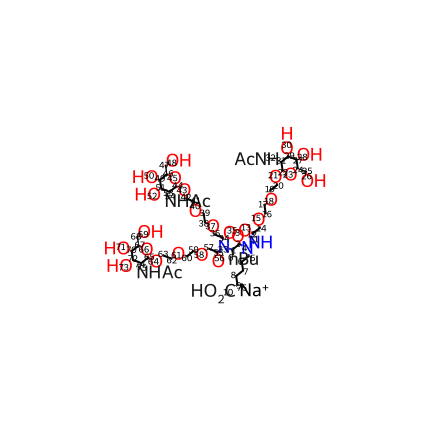 CCCCC(C(=O)N(CCCCCC(=O)O)NC(=O)COCCOCCO[C@@H]1O[C@H](CO)[C@H](O)[C@H](O)[C@H]1NC(C)=O)N(C(=O)COCCOCCO[C@@H]1O[C@H](CO)[C@H](O)[C@H](O)[C@H]1NC(C)=O)C(=O)COCCOCCO[C@@H]1O[C@H](CO)[C@H](O)[C@H](O)[C@H]1NC(C)=O.[Na+]